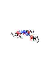 C=C(C)C(=O)OCCNC(=O)NC(CCCCCCCC)NC(=O)NCCOC(=O)C(=C)C